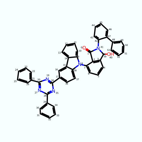 O=C1c2c(cccc2-n2c3ccccc3c3cc(-c4nc(-c5ccccc5)nc(-c5ccccc5)n4)ccc32)C(O)N1c1ccccc1-c1ccccc1